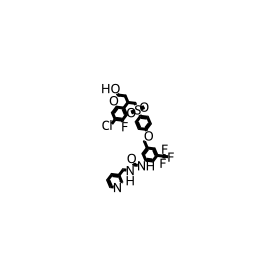 O=C(O)CC(CS(=O)(=O)c1ccc(OCc2cc(NC(=O)NCc3cccnc3)cc(C(F)(F)F)c2)cc1)c1ccc(Cl)c(F)c1